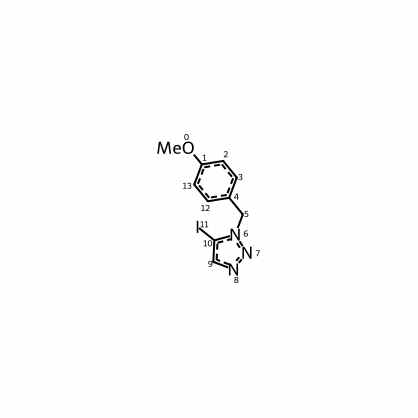 COc1ccc(Cn2nncc2I)cc1